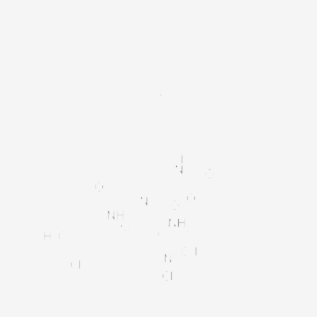 CC(C)CCNC(=O)[C@H](Cc1ccccc1)N(C(=O)[C@H](N)CN(C)C)C(=O)[C@H](Cc1ccc(OCc2ccccc2)cc1)NC(=O)OCc1ccccc1